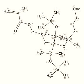 C=C(C)C(=O)OCCC[Si](O[Si](C)(C)CCCOC(C)=O)([Si](C)(C)O[Si](C)(C)C)[Si](C)(C)O[Si](C)(C)C